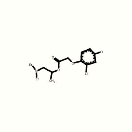 CCN(CC)CC(C)OC(=O)COc1ccc(Cl)cc1Cl